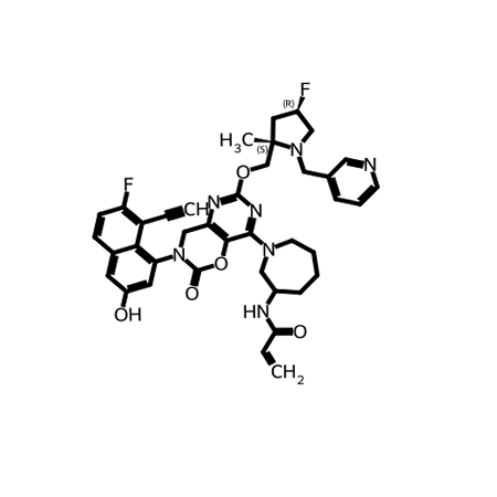 C#Cc1c(F)ccc2cc(O)cc(N3Cc4nc(OC[C@]5(C)C[C@@H](F)CN5Cc5cccnc5)nc(N5CCCCC(NC(=O)C=C)C5)c4OC3=O)c12